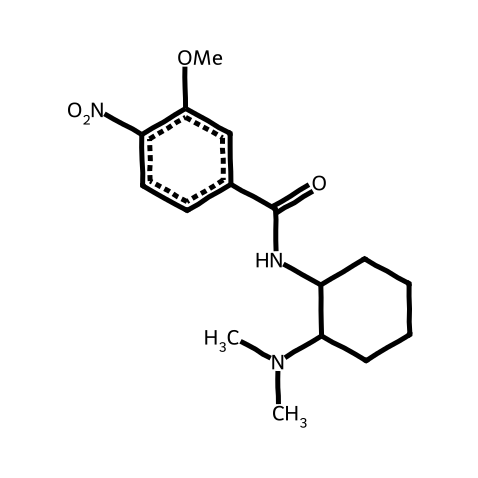 COc1cc(C(=O)NC2CCCCC2N(C)C)ccc1[N+](=O)[O-]